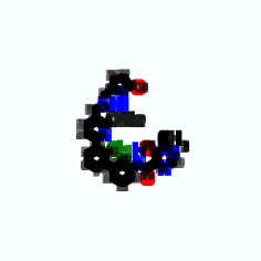 COc1nc(-c2cccc(-c3cccc(NC(=O)c4ncnn(C)c4=O)c3Cl)c2Cl)ccc1CNC[C@H]1CCC(=O)N1